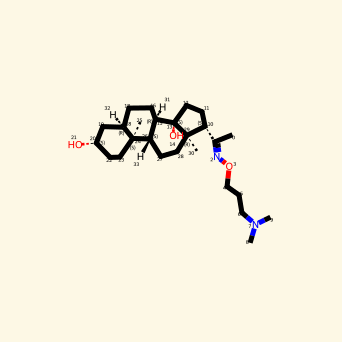 CC(=NOCCCN(C)C)[C@H]1CC[C@]2(O)[C@@H]3CC[C@@H]4C[C@@H](O)CC[C@]4(C)[C@H]3CC[C@]12C